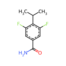 CC(C)c1c(F)cc(C(N)=O)cc1F